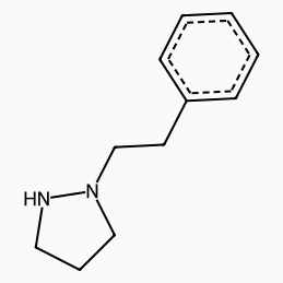 c1ccc(CCN2CCCN2)cc1